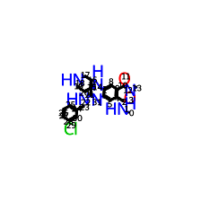 CNC(=O)c1cc2c(cc1C(=O)NC)NC1(CCNCC1)C(NCc1cccc(Cl)c1)=N2